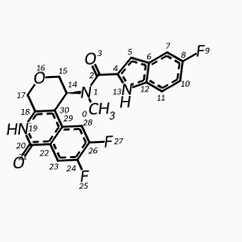 CN(C(=O)c1cc2cc(F)ccc2[nH]1)[C@@H]1COCc2[nH]c(=O)c3cc(F)c(F)cc3c21